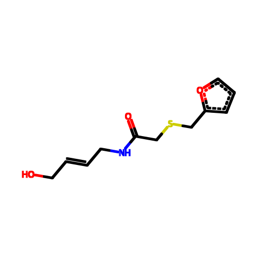 O=C(CSCc1ccco1)NCC=CCO